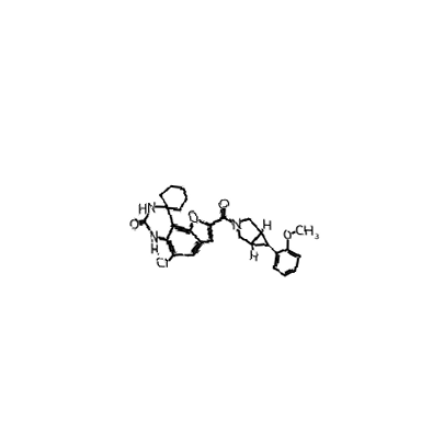 COc1ccccc1[C@H]1[C@@H]2CN(C(=O)c3cc4cc(Cl)c5c(c4o3)C3(CCCCC3)NC(=O)N5)C[C@@H]21